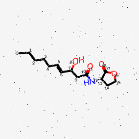 CCCCC/C=C/C(O)CC(=O)N[C@H]1CCOC1=O